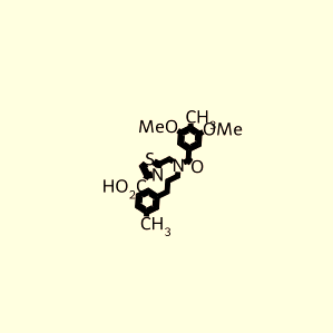 COc1cc(C(=O)N(CCCc2cccc(C)c2)Cc2nc(C(=O)O)cs2)cc(OC)c1C